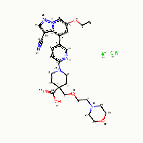 CCOc1cc(-c2ccc(N3CCC(COCCN4CCOCC4)(C(=O)O)CC3)nc2)c2c(C#N)cnn2c1.Cl.Cl